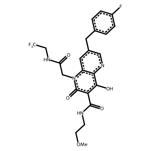 COCCNC(=O)c1c(O)c2ncc(Cc3ccc(F)cc3)cc2n(CC(=O)NCC(F)(F)F)c1=O